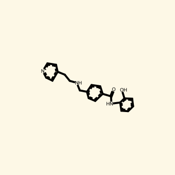 O=C(Nc1ccccc1O)c1ccc(CNCCc2ccncc2)cc1